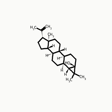 C=C(C)[C@H]1CC[C@H]2[C@@H]3CC[C@H]4[C@H](CC[C@@]5(O)[C@@H]4C5(C)C)[C@H]3CC[C@]12C